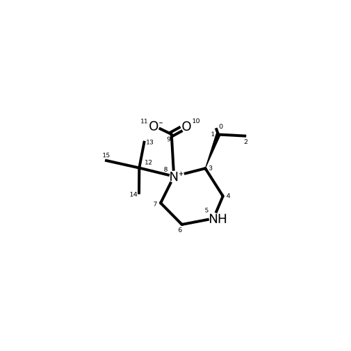 CC(C)[C@H]1CNCC[N+]1(C(=O)[O-])C(C)(C)C